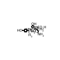 C#Cc1ccc(C(C)NC(=O)[C@@H]2C[C@@H](O)CN2C(=O)C(NC(=O)O)C(C)(C)CCN)cc1